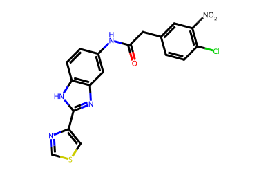 O=C(Cc1ccc(Cl)c([N+](=O)[O-])c1)Nc1ccc2[nH]c(-c3cscn3)nc2c1